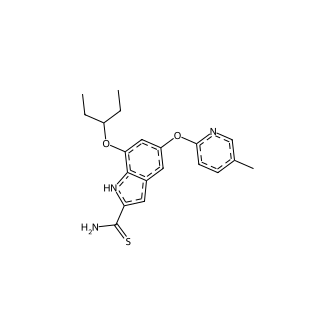 CCC(CC)Oc1cc(Oc2ccc(C)cn2)cc2cc(C(N)=S)[nH]c12